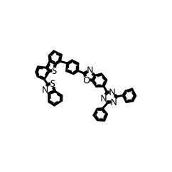 c1ccc(-c2nc(-c3ccccc3)nc(-c3ccc4nc(-c5ccc(-c6cccc7c6sc6c(-c8nc9ccccc9s8)cccc67)cc5)oc4c3)n2)cc1